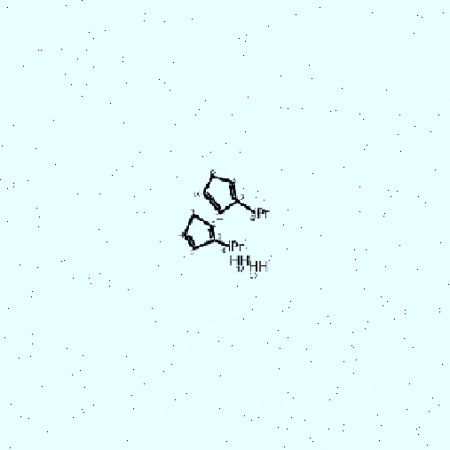 CC(C)C1=CCC=C1.CC(C)C1=CCC=C1.[HH].[HH]